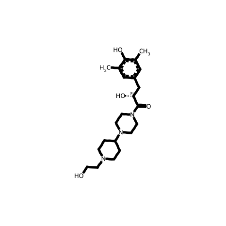 Cc1cc(C[C@@H](O)C(=O)N2CCN(C3CCN(CCO)CC3)CC2)cc(C)c1O